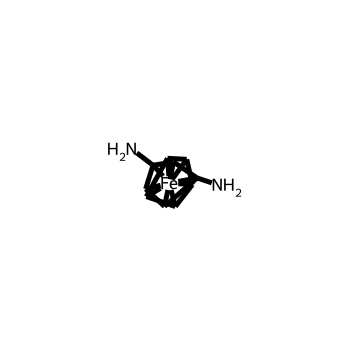 N[C]12[CH]3[CH]4[C]5(N)[CH]1[Fe]34251678[CH]2[CH]1[CH]6[CH]7[CH]28